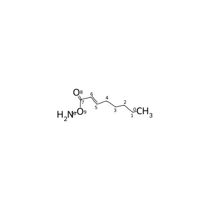 CCCCC/C=C/C(=O)ON